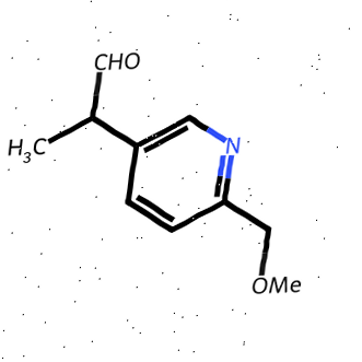 COCc1ccc(C(C)C=O)cn1